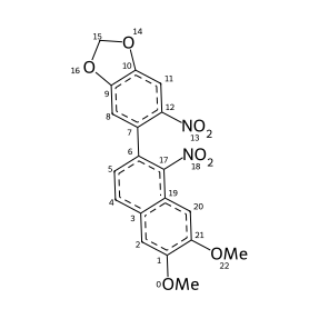 COc1cc2ccc(-c3cc4c(cc3[N+](=O)[O-])OCO4)c([N+](=O)[O-])c2cc1OC